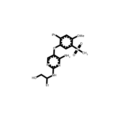 CCC(CO)Nc1ncc(Oc2cc(S(C)(=O)=O)c(OC)cc2C(C)C)c(N)n1